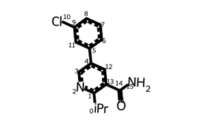 CC(C)c1ncc(-c2cccc(Cl)c2)cc1C(N)=O